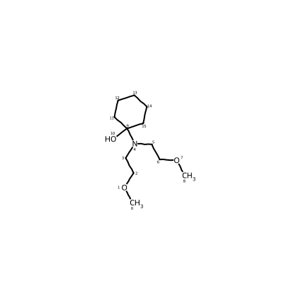 COCCN(CCOC)C1(O)CCCCC1